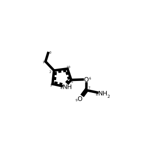 CCc1c[nH]c(OC(N)=O)c1